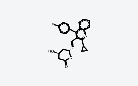 O=C1C[C@@H](O)C[C@H](/C=C/c2c(C3CC3)nc3ccccc3c2-c2ccc(F)cc2)O1